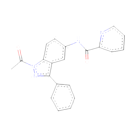 CC(=O)n1nc(-c2ccccc2)c2cc(NC(=O)c3ccccn3)ccc21